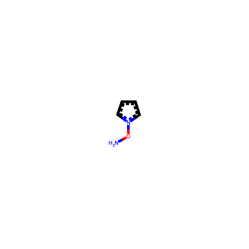 NOn1cccc1